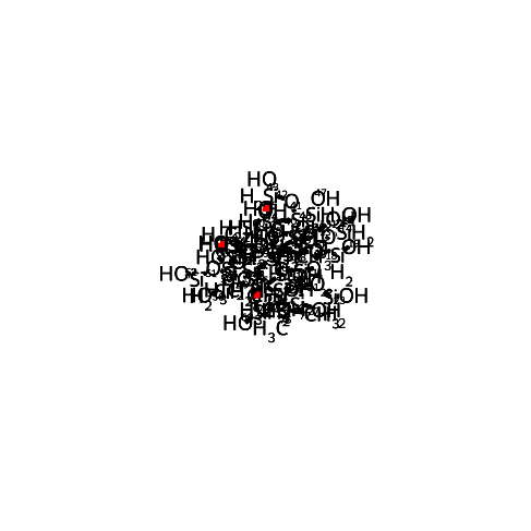 C[SiH](O[Si](C)(C)C)O[Si](O[Si](O[Si](O[SiH2]O)([SiH2]O)[SiH2]O)([Si](O[SiH2]O)([SiH2]O)[SiH2]O)[Si](O[SiH2]O)([SiH2]O)[SiH2]O)([Si](C)(C)O[Si](O[SiH2]O)([SiH2]O)[SiH2]O)[Si](O[Si](O[SiH2]O)([SiH2]O)[SiH2]O)([Si](O[SiH2]O)([SiH2]O)[SiH2]O)[Si](O[SiH2]O)([SiH2]O)[Si](C)(O)[SiH](C)C